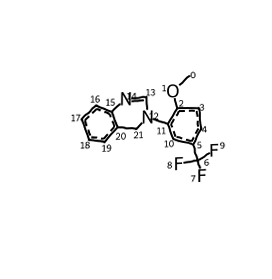 COc1ccc(C(F)(F)F)cc1N1C=Nc2ccccc2C1